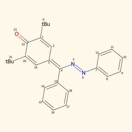 CC(C)(C)C1=CC(=C(N=Nc2ccccc2)c2ccccc2)C=C(C(C)(C)C)C1=O